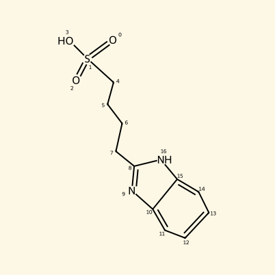 O=S(=O)(O)CCCCc1nc2ccccc2[nH]1